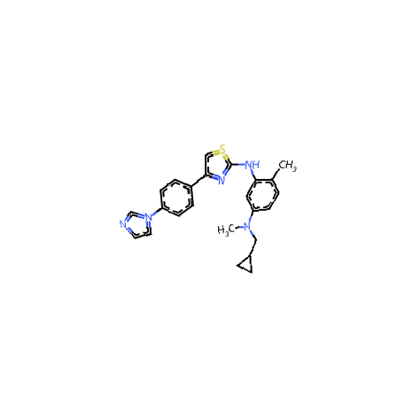 Cc1ccc(N(C)CC2CC2)cc1Nc1nc(-c2ccc(-n3ccnc3)cc2)cs1